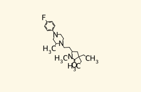 CCC1(CC)CC(CCN2CCN(c3ccc(F)cc3)CC2C)N(C)C1=O